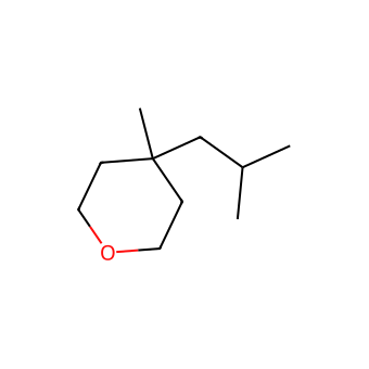 CC(C)CC1(C)CCOCC1